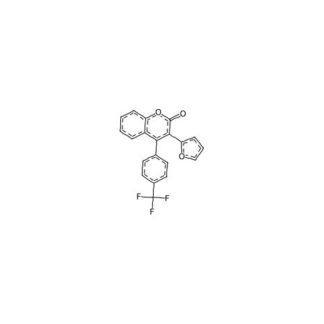 O=c1oc2ccccc2c(-c2ccc(C(F)(F)F)cc2)c1-c1ccco1